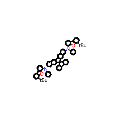 CC(C)(C)c1cccc2c1oc1c(N(c3ccccc3)c3ccc4cc5c(cc4c3)C3(c4ccccc4-c4ccccc43)c3cc4cc(N(c6ccccc6)c6cccc7c6oc6c(C(C)(C)C)cccc67)ccc4cc3-5)cccc12